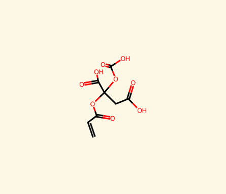 C=CC(=O)OC(CC(=O)O)(OC(=O)O)C(=O)O